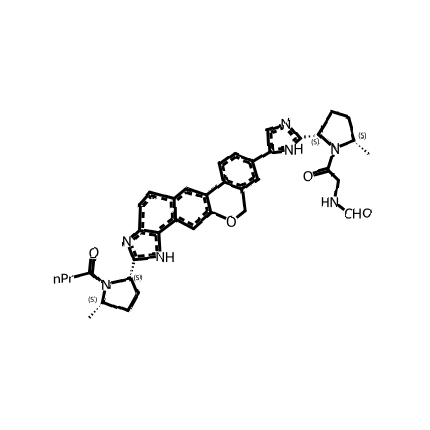 CCCC(=O)N1[C@@H](C)CC[C@H]1c1nc2ccc3cc4c(cc3c2[nH]1)OCc1cc(-c2cnc([C@@H]3CC[C@H](C)N3C(=O)CNC=O)[nH]2)ccc1-4